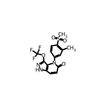 Cc1cc(-n2c(=O)ccc3[nH]nc(OC(F)(F)F)c32)ccc1S(C)(=O)=O